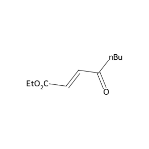 CCCCC(=O)C=CC(=O)OCC